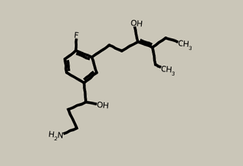 CCC(CC)=C(O)CCc1cc(C(O)CCN)ccc1F